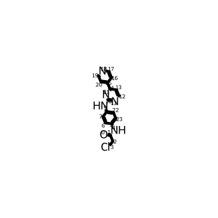 O=C(CCl)Nc1ccc(Nc2nccc(-c3ccncc3)n2)cc1